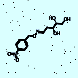 O=[N+]([O-])c1ccc(CON=CC[C@H](O)[C@H](O)CO)cc1